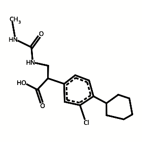 CNC(=O)NCC(C(=O)O)c1ccc(C2CCCCC2)c(Cl)c1